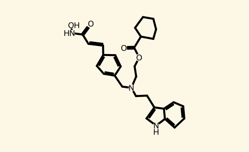 O=C(/C=C/c1ccc(CN(CCOC(=O)C2CCCCC2)CCc2c[nH]c3ccccc23)cc1)NO